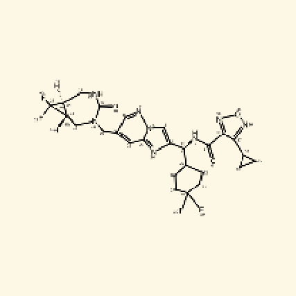 O=C(N[C@H](c1cn2ncc(CN3C[C@H]4[C@H](CNC3=O)C4(F)F)cc2n1)C1CCC(F)(F)CC1)c1nonc1C1CC1